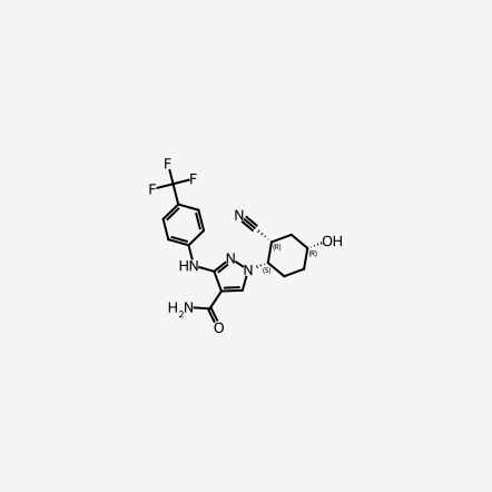 N#C[C@@H]1C[C@H](O)CC[C@@H]1n1cc(C(N)=O)c(Nc2ccc(C(F)(F)F)cc2)n1